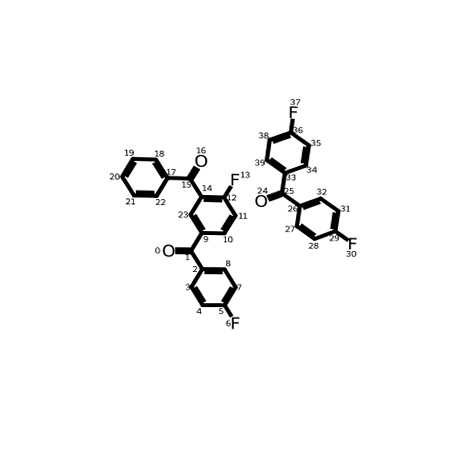 O=C(c1ccc(F)cc1)c1ccc(F)c(C(=O)c2ccccc2)c1.O=C(c1ccc(F)cc1)c1ccc(F)cc1